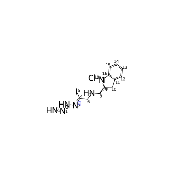 N=NN/N=C(\I)CNC[C@@H]1Cc2ccccc2N1Cl